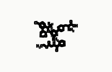 CCOC(=O)CNC(=O)c1ccccc1.Nc1nc(OC(c2ccc(Cl)cc2C2=CCCOC2)C(F)(F)F)cc(C2=CCC(CC(N)C(=O)O)CC2)n1